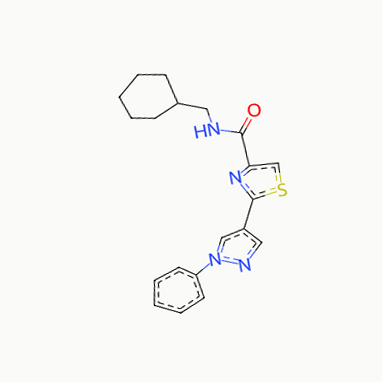 O=C(NCC1CCCCC1)c1csc(-c2cnn(-c3ccccc3)c2)n1